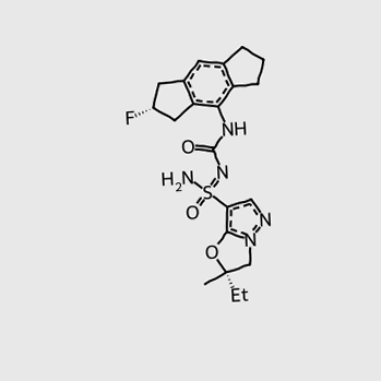 CC[C@@]1(C)Cn2ncc(S(N)(=O)=NC(=O)Nc3c4c(cc5c3C[C@H](F)C5)CCC4)c2O1